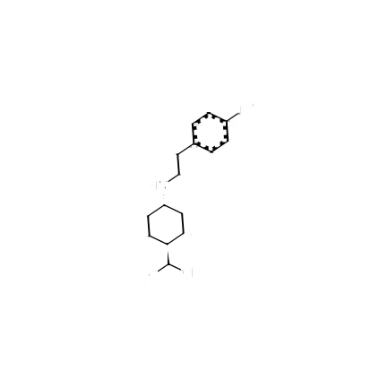 CC(C)[C@H]1CC[C@H](NCCc2ccc(F)cc2)CC1